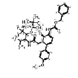 COc1ccc(-c2ccc(NC(=O)OCc3ccccc3)c(=O)n2CC(=O)NC(C(C)C)C(O[Si](C)(C)C(C)(C)C)C(F)(F)F)cc1